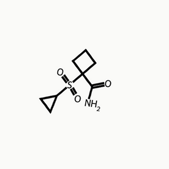 NC(=O)C1(S(=O)(=O)C2CC2)CCC1